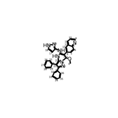 COC1C(c2ccc3ncccc3c2)=C(Nc2cc[nH]n2)Nc2c(-c3ccccc3)c(-c3ccccc3)nn21